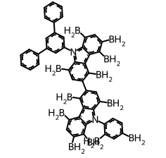 Bc1ccc(-n2c3c(B)cc(-c4cc(B)c5c(c4B)c4c(B)c(B)cc(B)c4n5-c4cc(-c5ccccc5)cc(-c5ccccc5)c4)c(B)c3c3c(B)cc(B)c(B)c32)c(B)c1